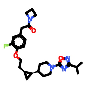 CC(C)c1noc(N2CCC([C@@H]3C[C@H]3CCOc3ccc(CC(=O)N4CCC4)cc3F)CC2)n1